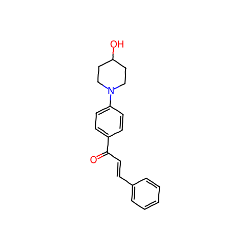 O=C(C=Cc1ccccc1)c1ccc(N2CCC(O)CC2)cc1